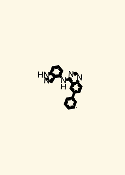 [c]1cccc(-c2ccc3ncnc(Nc4cccc5[nH]ncc45)c3c2)c1